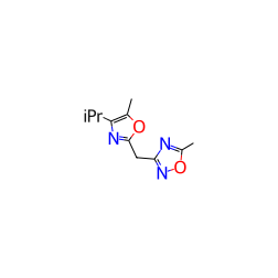 Cc1nc(Cc2nc(C(C)C)c(C)o2)no1